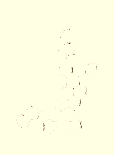 C=C/C=C\c1ccc2oc3c(N(c4ccccc4)c4ccc5cc(C)c6c(N(c7ccccc7)c7cccc8c7oc7ccc9ccccc9c78)ccc7cc(C)c4c5c76)cccc3c2c1C